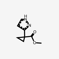 COC(=O)C1(c2cc[nH]n2)CC1